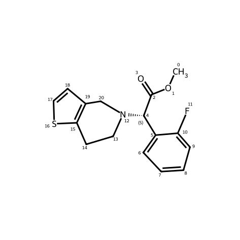 COC(=O)[C@H](c1ccccc1F)N1CCc2sccc2C1